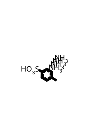 Cc1ccc(S(=O)(=O)O)cc1.N.N.N.N